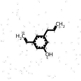 C=CCc1cc(O)cc(C=C)c1